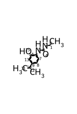 CCNC(=O)Nc1ccc(C(C)C)cc1O